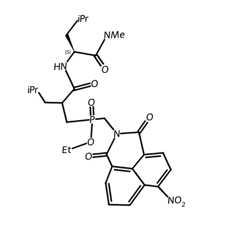 CCOP(=O)(CC(CC(C)C)C(=O)N[C@@H](CC(C)C)C(=O)NC)CN1C(=O)c2cccc3c([N+](=O)[O-])ccc(c23)C1=O